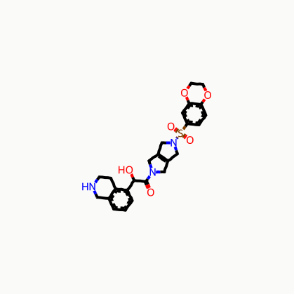 O=C(C(O)c1cccc2c1CCNC2)N1CC2=C(C1)CN(S(=O)(=O)c1ccc3c(c1)OCCO3)C2